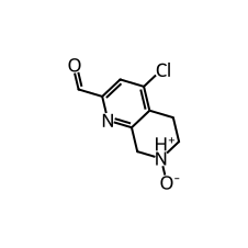 O=Cc1cc(Cl)c2c(n1)C[NH+]([O-])CC2